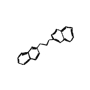 c1ccc2cc(CCc3ccc4ccccc4c3)ccc2c1